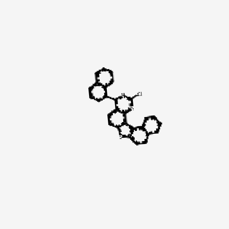 Clc1nc(-c2cccc3ccccc23)c2ccc3sc4ccc5ccccc5c4c3c2n1